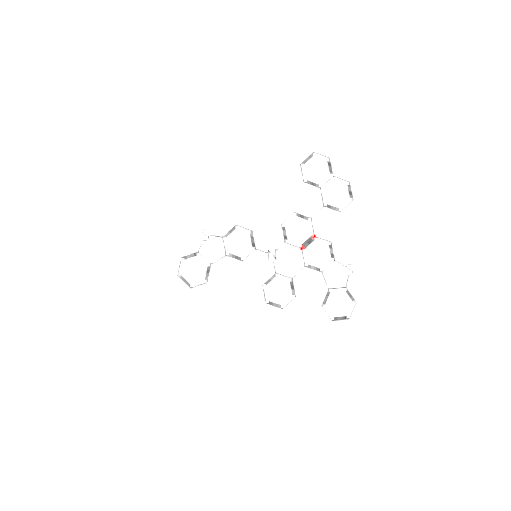 c1ccc(N(c2ccc(-c3cccc4ccccc34)cc2)c2ccc3sc4ccccc4c3c2)c(-c2cccc3sc4ccccc4c23)c1